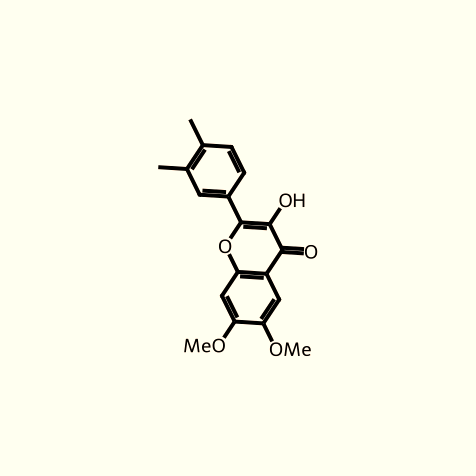 COc1cc2oc(-c3ccc(C)c(C)c3)c(O)c(=O)c2cc1OC